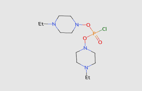 CCN1CCN(OP(=O)(Cl)ON2CCN(CC)CC2)CC1